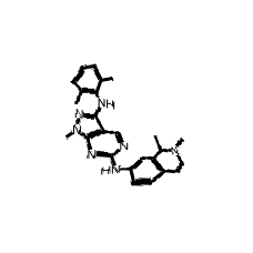 Cc1cccc(C)c1Nc1nn(C)c2nc(Nc3ccc4c(c3)C(C)N(C)CC4)ncc12